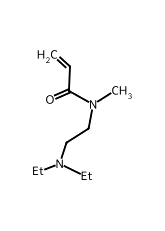 C=CC(=O)N(C)CCN(CC)CC